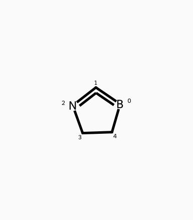 B1=C=NCC1